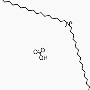 CCCCCCCCCCCCCCCCCC[N+](C)(C)CCCCCCCCCCCCCCCCCC.O=C([O-])O